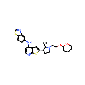 CC1C(c2cc3c(Nc4ccc5scnc5c4)ccnc3s2)CCN1CCOC1CCCCO1